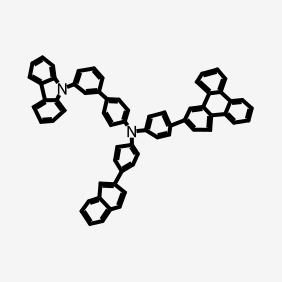 c1cc(-c2ccc(N(c3ccc(-c4ccc5ccccc5c4)cc3)c3ccc(-c4ccc5c6ccccc6c6ccccc6c5c4)cc3)cc2)cc(-n2c3ccccc3c3ccccc32)c1